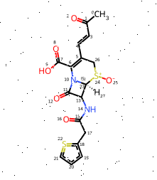 CC(=O)C=CC1=C(C(=O)O)N2C(=O)C(NC(=O)Cc3cccs3)[C@@H]2[S+]([O-])C1